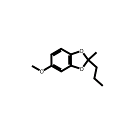 CCCC1(C)Oc2ccc(OC)cc2O1